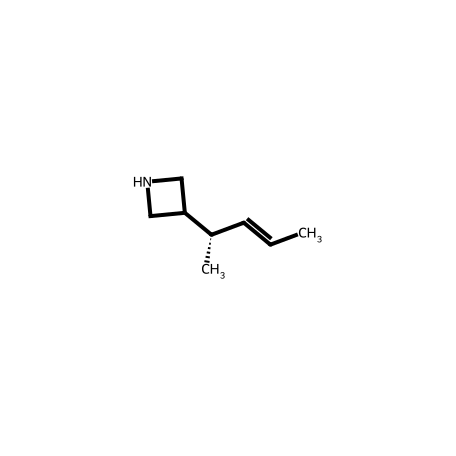 C/C=C/[C@H](C)C1CNC1